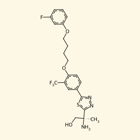 C[C@](N)(CO)c1nnc(-c2ccc(OCCCCOc3cccc(F)c3)c(C(F)(F)F)c2)s1